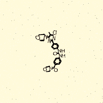 Cc1c(Cl)nc(-c2ccc(NC(=O)Nc3ccc(C(=O)N4CCOCC4)cc3)cc2)nc1N1CCOCC1